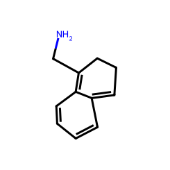 NCC1=c2ccccc2=CCC1